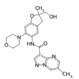 Cc1cnc2c(C(=O)Nc3cc4c(cc3N3CCOCC3)OC(C)(CO)C4)cnn2c1